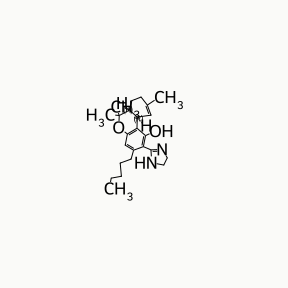 CCCCCc1cc2c(c(O)c1C1=NCCN1)[C@@H]1C=C(C)CC[C@H]1C(C)(C)O2